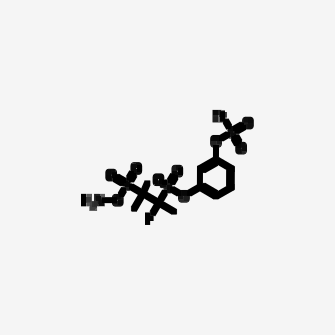 CCS(=O)(=O)Oc1cccc(OS(=O)(=O)C(C)(F)C(C)(C)S(=O)(=O)ON)c1